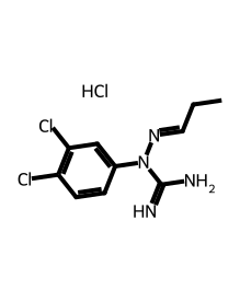 CCC=NN(C(=N)N)c1ccc(Cl)c(Cl)c1.Cl